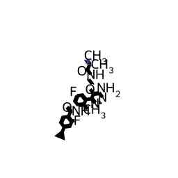 C/C=C(\C)C(=O)NCCOc1c(N)ncnc1-c1cc(F)cc(NC(=O)c2ccc(C3CC3)cc2F)c1C